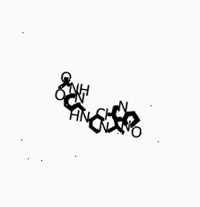 O=C1COc2ccc(CNC3CCN(CC4Cn5c(=O)ccc6ncc(Cl)c4c65)CC3)nc2N1